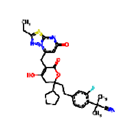 CCc1nn2c(CC3=C(O)CC(CCc4ccc(C(C)(C)C#N)c(F)c4)(C4CCCC4)OC3=O)cc(=O)nc2s1